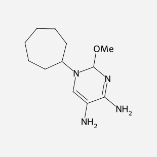 COC1N=C(N)C(N)=CN1C1CCCCCC1